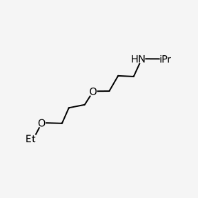 CCOCCCOCCCNC(C)C